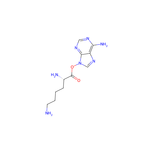 NCCCC[C@H](N)C(=O)On1cnc2c(N)ncnc21